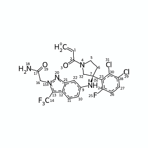 C=CC(=O)N1CC[C@](Nc2ccc3c(C(F)(F)F)n(CC(N)=O)nc3c2)(c2c(F)ccc(Cl)c2Cl)C1